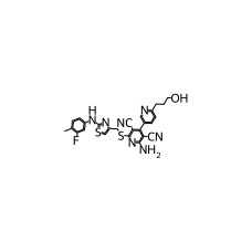 Cc1ccc(Nc2nc(CSc3nc(N)c(C#N)c(-c4ccc(CCCO)nc4)c3C#N)cs2)cc1F